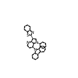 c1ccc(-n2cc(-c3nc4ccccc4s3)c3nccc(-n4c5ccccc5c5ccccc54)c32)cc1